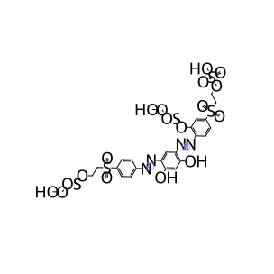 O=S(=O)(O)OCCS(=O)(=O)c1ccc(/N=N/c2cc(/N=N/c3ccc(S(=O)(=O)CCOSOOO)cc3)c(O)cc2O)c(OSOOO)c1